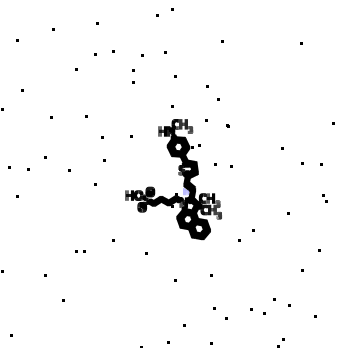 CNc1ccc(-c2ccc(/C=C/C3=[N+](CCCCS(=O)(=O)O)c4ccc5ccccc5c4C3(C)C)s2)cc1